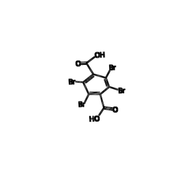 O=C(O)c1c(Br)c(Br)c(C(=O)O)c(Br)c1Br